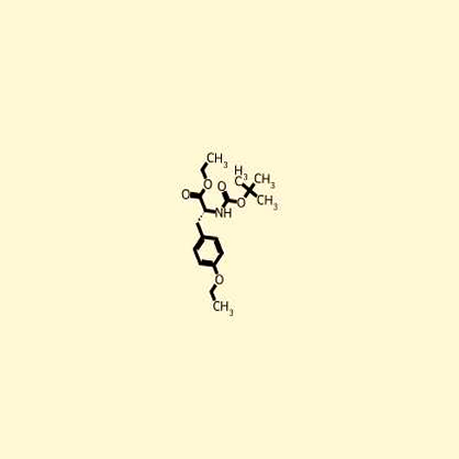 CCOC(=O)[C@@H](Cc1ccc(OCC)cc1)NC(=O)OC(C)(C)C